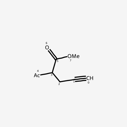 C#CCC(C(C)=O)C(=O)OC